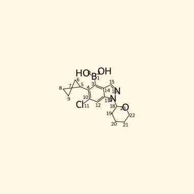 OB(O)c1c(C2CC23CC3)c(Cl)cc2c1cnn2C1CCCCO1